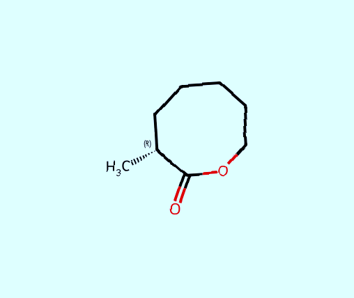 C[C@@H]1CCCCCOC1=O